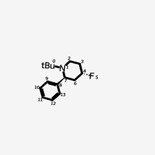 CC(C)(C)N1CC[C@H](F)C[C@H]1c1ccccc1